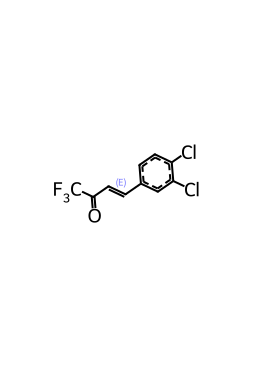 O=C(/C=C/c1ccc(Cl)c(Cl)c1)C(F)(F)F